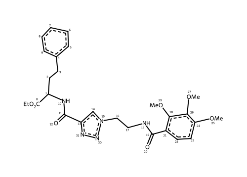 CCOC(=O)C(CCc1ccccc1)NC(=O)c1cn(CCNC(=O)c2ccc(OC)c(OC)c2OC)nn1